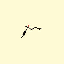 CC#CC(C)(O)CCCC